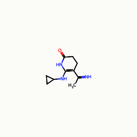 CC(=N)C1=C(NC2CC2)NC(=O)CC1